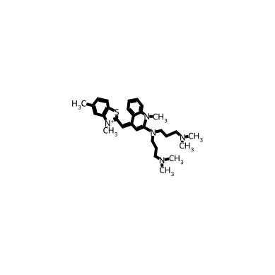 Cc1ccc2sc(/C=C3/C=C(N(CCCN(C)C)CCCN(C)C)N(C)c4ccccc43)[n+](C)c2c1